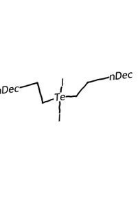 CCCCCCCCCCCC[Te](I)(I)CCCCCCCCCCCC